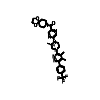 Cc1c(-c2ccc(C(F)(F)F)cc2)nnc(N2CCN(c3cnc(C(=O)N4CCC5(CC4)OCCO5)cn3)[C@H](C)C2)c1C